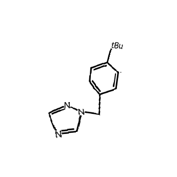 CC(C)(C)c1[c]cc(Cn2cncn2)cc1